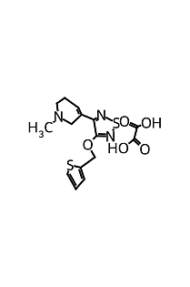 CN1CCC=C(c2nsnc2OCc2cccs2)C1.O=C(O)C(=O)O